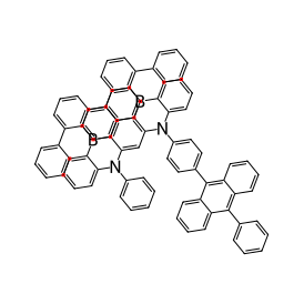 c1ccc(-c2cccc(-c3ccccc3)c2B2c3ccccc3N(c3ccccc3)c3cc4c(cc32)B(c2c(-c3ccccc3)cccc2-c2ccccc2)c2ccccc2N4c2ccc(-c3c4ccccc4c(-c4ccccc4)c4ccccc34)cc2)cc1